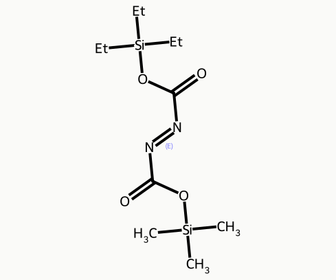 CC[Si](CC)(CC)OC(=O)/N=N/C(=O)O[Si](C)(C)C